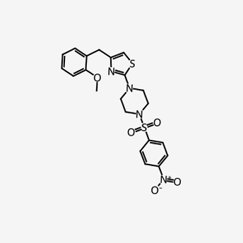 COc1ccccc1Cc1csc(N2CCN(S(=O)(=O)c3ccc([N+](=O)[O-])cc3)CC2)n1